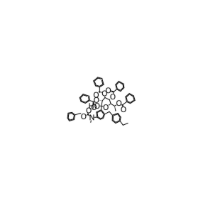 CCc1ccc(Cc2ccc(N(C)C(=O)OCc3ccccc3)cc2[C@@]2(O)O[C@H]([C@H](C)OC(=O)c3ccccc3)[C@@H](OC(=O)c3ccccc3)[C@H](OC(=O)c3ccccc3)[C@H]2OC(=O)c2ccccc2)cc1